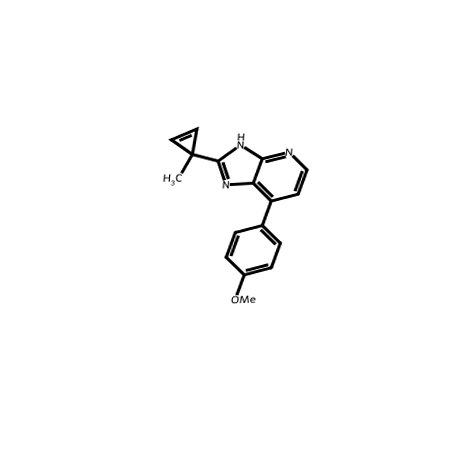 COc1ccc(-c2ccnc3[nH]c(C4(C)C=C4)nc23)cc1